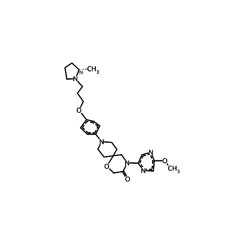 COc1cnc(N2CC3(CCN(c4ccc(OCCCN5CCC[C@@H]5C)cc4)CC3)OCC2=O)cn1